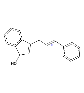 OC1C=C(C/C=C/c2ccccc2)c2ccccc21